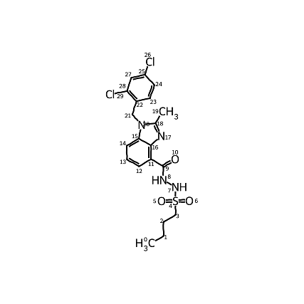 CCCCS(=O)(=O)NNC(=O)c1cccc2c1nc(C)n2Cc1ccc(Cl)cc1Cl